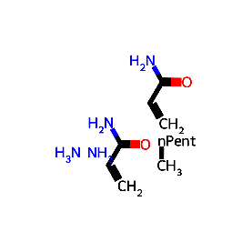 C=CC(N)=O.C=CC(N)=O.CCCCCC.N.N